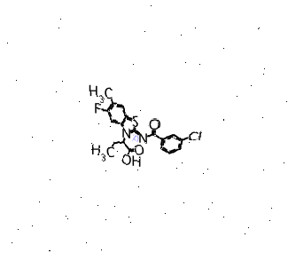 CCC(C(=O)O)n1/c(=N/C(=O)c2cccc(Cl)c2)sc2cc(C)c(F)cc21